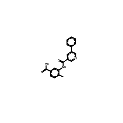 Cc1ccc(C(=O)O)cc1NC(=O)c1cncc(-c2ccccc2)c1